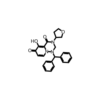 O=C1c2c(O)c(=O)ccn2N(C(c2ccccc2)c2ccccc2)CN1C1CCOC1